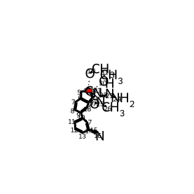 CO[C@H]1CC2(Cc3ccc(-c4cccc(C#N)c4)cc3C23N=C(NN)N(C)O3)C[C@H]1OC